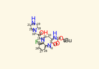 CN1C(=O)[C@@H](NC(=O)OC(C)(C)C)CCN(CC(O)CN2CCNCC2)c2c(F)cccc21